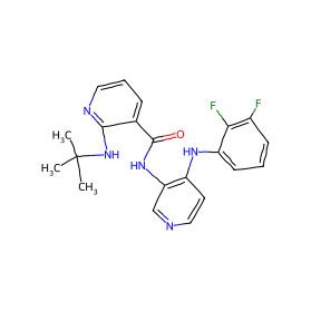 CC(C)(C)Nc1ncccc1C(=O)Nc1cnccc1Nc1cccc(F)c1F